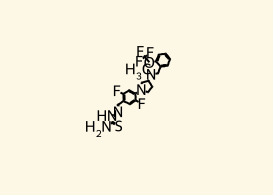 CN(Cc1ccccc1OC(F)(F)F)[C@H]1CCN(c2cc(F)c(C=NNC(N)=S)cc2F)C1